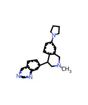 CN1Cc2cc(N3CCCC3)ccc2C(c2ccc3cncnc3c2)C1